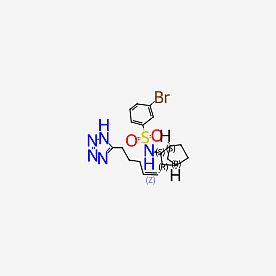 O=S(=O)(N[C@H]1[C@H]2CC[C@H](C2)[C@@H]1/C=C\CCCc1nnn[nH]1)c1cccc(Br)c1